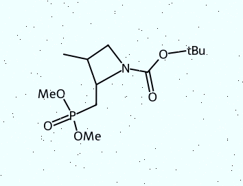 COP(=O)(CC1C(C)CN1C(=O)OC(C)(C)C)OC